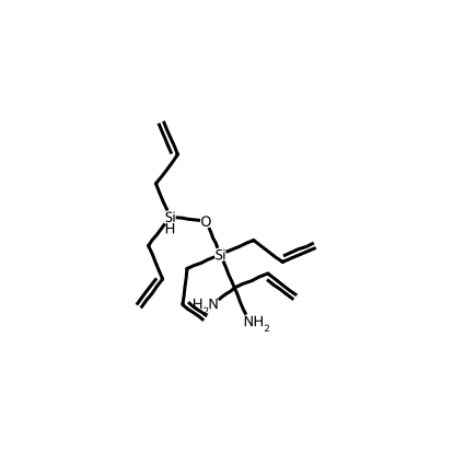 C=CC[SiH](CC=C)O[Si](CC=C)(CC=C)C(N)(N)C=C